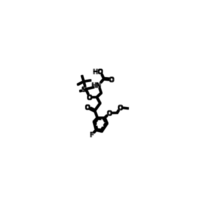 COCOc1ccc(F)cc1C(=O)CC(CNC(=O)O)O[Si](C)(C)C(C)(C)C